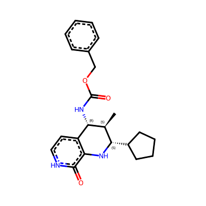 C[C@@H]1[C@@H](NC(=O)OCc2ccccc2)c2cc[nH]c(=O)c2N[C@H]1C1CCCC1